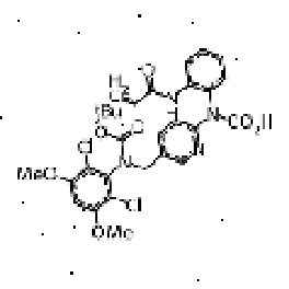 C=CC(=O)Nc1ccccc1N(C(=O)O)c1ccc(CN(C(=O)OC(C)(C)C)c2c(Cl)c(OC)cc(OC)c2Cl)cn1